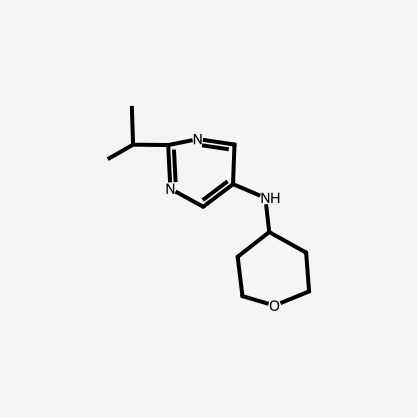 CC(C)c1ncc(NC2CCOCC2)cn1